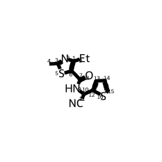 CCc1nc(C)sc1C(=O)NC(C#N)c1cccs1